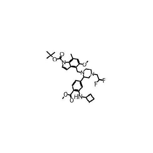 COC(=O)c1ccc(C2CN(CC(F)F)CCN2Cc2c(OC)cc(C)c3c2ccn3C(=O)OC(C)(C)C)cc1NC1CCC1